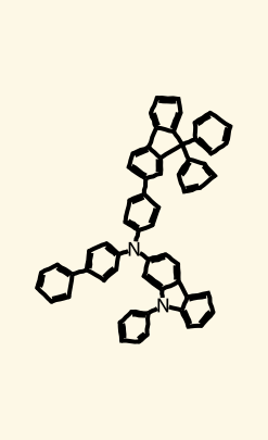 c1ccc(-c2ccc(N(c3ccc(-c4ccc5c(c4)C(c4ccccc4)(c4ccccc4)c4ccccc4-5)cc3)c3ccc4c5ccccc5n(-c5ccccc5)c4c3)cc2)cc1